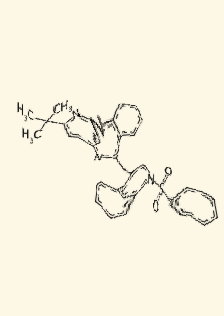 CC(C)(C)c1cc2nc(-c3cn(S(=O)(=O)c4ccccc4)c4ccccc34)c3ccccc3n2n1